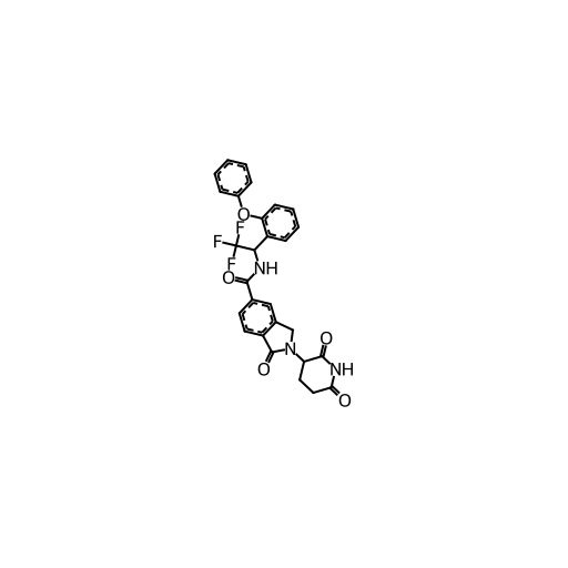 O=C1CCC(N2Cc3cc(C(=O)NC(c4ccccc4Oc4ccccc4)C(F)(F)F)ccc3C2=O)C(=O)N1